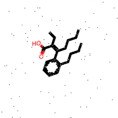 CCCCC(=C(CC)C(=O)O)c1ccccc1CCCC